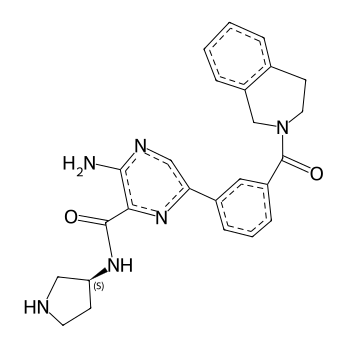 Nc1ncc(-c2cccc(C(=O)N3CCc4ccccc4C3)c2)nc1C(=O)N[C@H]1CCNC1